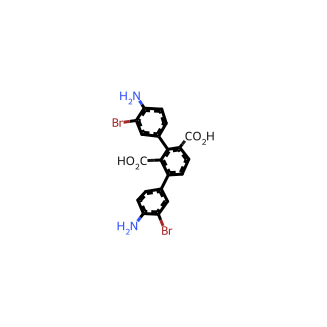 Nc1ccc(-c2ccc(C(=O)O)c(-c3ccc(N)c(Br)c3)c2C(=O)O)cc1Br